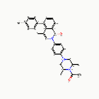 Cc1cn(-c2ccc(N3CC(C)N(C(=O)C(C)(C)C)C(C)C3)cc2)c(=O)c2cccc(-c3ccc(C#N)cc3)c12